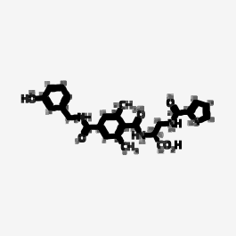 Cc1cc(C(=O)NCc2cccc(O)c2)cc(C)c1C(=O)N[C@@H](CNC(=O)c1cccs1)C(=O)O